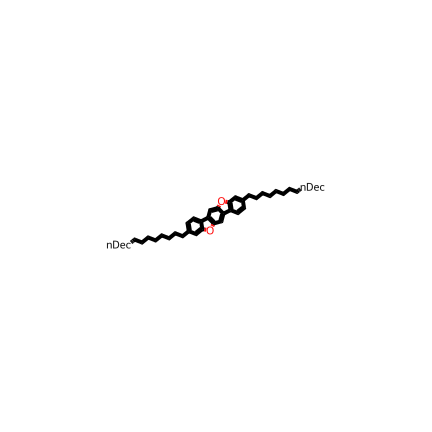 CCCCCCCCCCCCCCCCCCc1ccc2c(c1)oc1cc3c(cc12)oc1cc(CCCCCCCCCCCCCCCCCC)ccc13